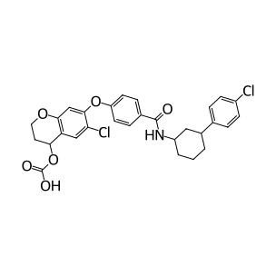 O=C(O)OC1CCOc2cc(Oc3ccc(C(=O)NC4CCCC(c5ccc(Cl)cc5)C4)cc3)c(Cl)cc21